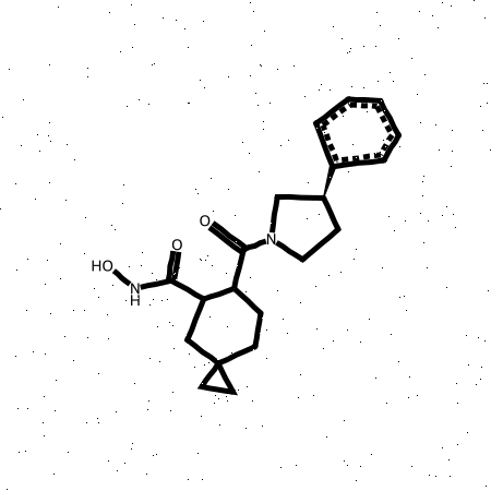 O=C(NO)C1CC2(CCC1C(=O)N1CC[C@H](c3ccccc3)C1)CC2